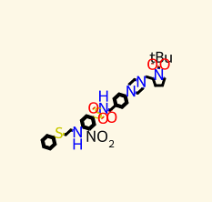 CC(C)(C)OC(=O)N1CCCC1CN1CCN(c2ccc(C(=O)NS(=O)(=O)c3ccc(NCCSc4ccccc4)c([N+](=O)[O-])c3)cc2)CC1